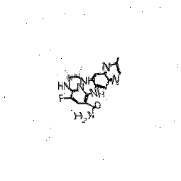 Cc1cnc2cc(Nc3nc(N[C@H](C)[C@H](C)N)c(F)cc3C(N)=O)ccc2n1